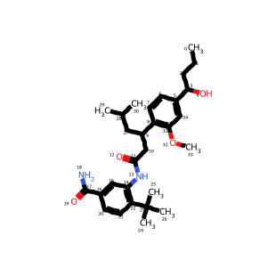 CCCC(O)c1ccc(C(CC(=O)Nc2cc(C(N)=O)ccc2C(C)(C)C)CC(C)C)c(OC)c1